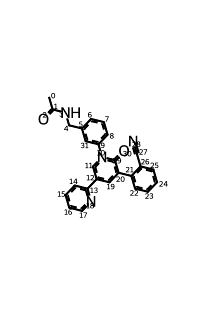 CC(=O)NCc1cccc(-n2cc(-c3ccccn3)cc(-c3ccccc3C#N)c2=O)c1